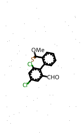 COC(=S)c1ccccc1-c1c(Cl)cc(Cl)cc1C=O